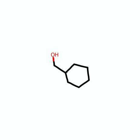 OC[C]1CCCCC1